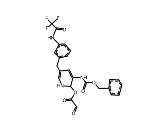 O=CC(=O)OC1NC=C(Cc2cccc(NC(=O)C(F)(F)F)c2)C=C1NC(=O)OCc1ccccc1